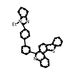 CCn1c(-c2ccc(-c3cccc(-c4nc5ccccc5c5c4ccc4c6ccccc6sc45)c3)cc2)nc2ccccc21